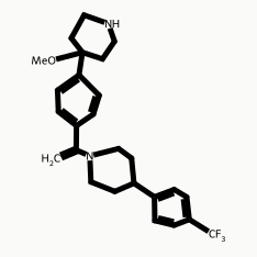 C=C(c1ccc(C2(OC)CCNCC2)cc1)N1CCC(c2ccc(C(F)(F)F)cc2)CC1